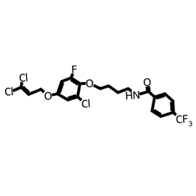 O=C(NCCCCOc1c(F)cc(OCC=C(Cl)Cl)cc1Cl)c1ccc(C(F)(F)F)cc1